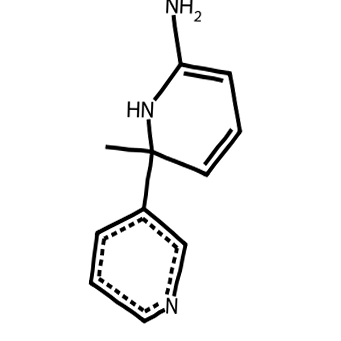 CC1(c2cccnc2)C=CC=C(N)N1